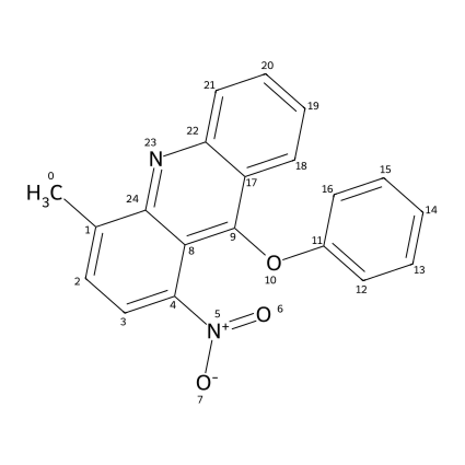 Cc1ccc([N+](=O)[O-])c2c(Oc3ccccc3)c3ccccc3nc12